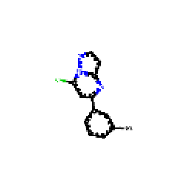 O=[N+]([O-])c1cccc(-c2cc(Cl)n3nccc3n2)c1